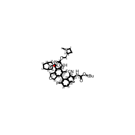 CN1CC[C@H]1COc1nc(N2C3CCC2CN(C(=O)O)C3)c2c3c(c(-c4c(F)ccc5sc(NC(=O)OC(C)(C)C)c(C#N)c45)c(F)c2n1)COC3